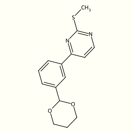 CSc1nccc(-c2cccc(C3OCCCO3)c2)n1